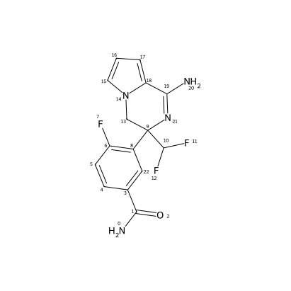 NC(=O)c1ccc(F)c(C2(C(F)F)Cn3cccc3C(N)=N2)c1